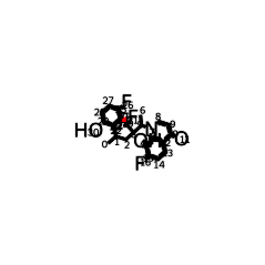 CC(CC(O)(C(C)n1ccc(=O)c2ccc(F)cc21)C(F)(F)F)c1cc(F)ccc1O